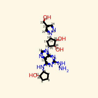 NNc1nc(N[C@H]2CCC[C@@H]2O)c2ncn([C@@H]3C[C@H](n4cc(CO)cn4)[C@@H](O)[C@H]3O)c2n1